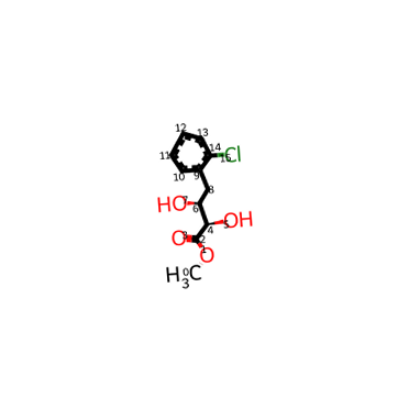 COC(=O)[C@H](O)[C@@H](O)Cc1ccccc1Cl